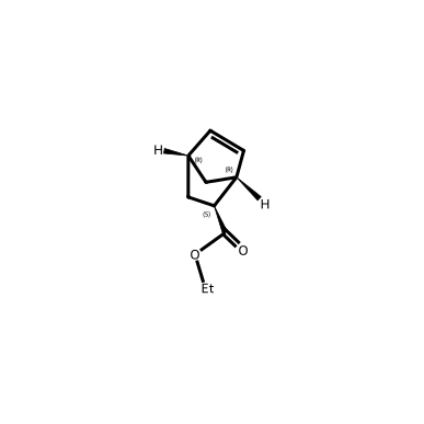 CCOC(=O)[C@H]1C[C@@H]2C=C[C@H]1C2